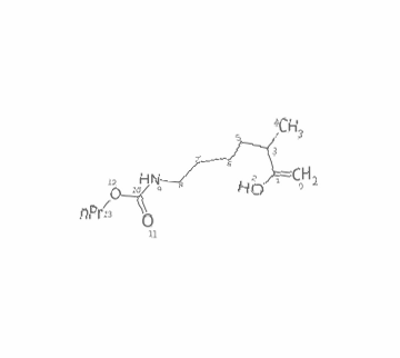 C=C(O)C(C)CCCCNC(=O)OCCC